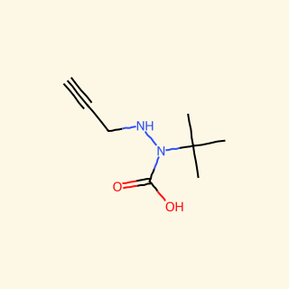 C#CCNN(C(=O)O)C(C)(C)C